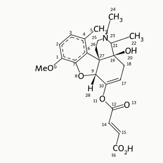 COc1ccc(C)c2c1O[C@H]1C(OC(=O)/C=C/C(=O)O)=CC[C@@]3(O)C(C)N(C)CC[C@]213